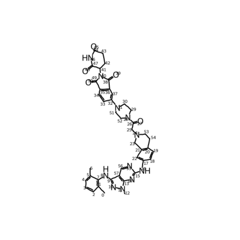 Cc1cccc(C)c1Nc1nn(C)c2nc(Nc3ccc4c(c3)CN(CC(=O)N3CCN(c5ccc6c(c5)C(=O)N(C5CCC(=O)NC5=O)C6=O)CC3)CC4)ncc12